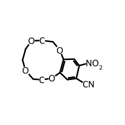 N#Cc1cc2c(cc1[N+](=O)[O-])OCCOCCOCCO2